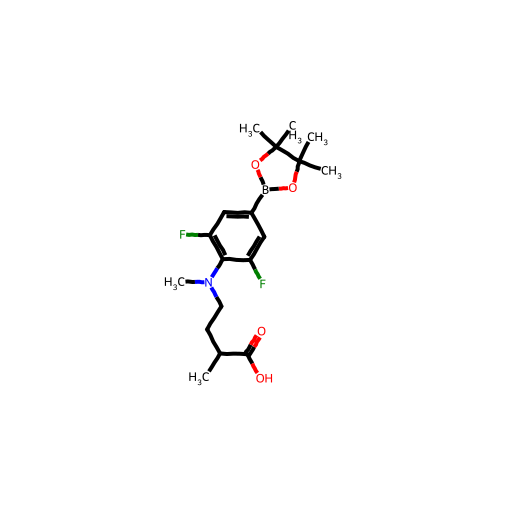 CC(CCN(C)c1c(F)cc(B2OC(C)(C)C(C)(C)O2)cc1F)C(=O)O